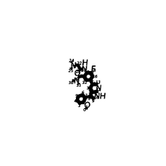 COc1ccccc1-c1c[nH]c2ncc(-c3cc(F)c(NCCN(C)C)c(C(=O)N(C)C)c3)cc12